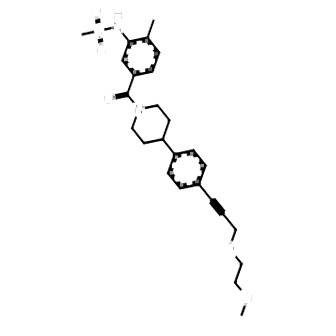 COCCOCC#Cc1ccc(C2CCN(C(=O)c3ccc(C)c(NS(C)(=O)=O)c3)CC2)cc1